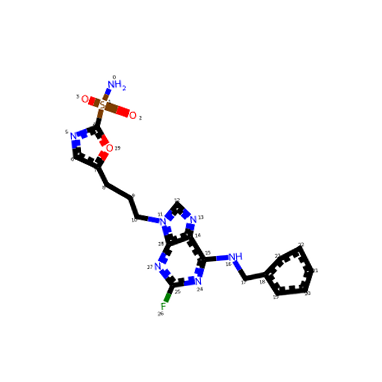 NS(=O)(=O)c1ncc(CCCn2cnc3c(NCc4ccccc4)nc(F)nc32)o1